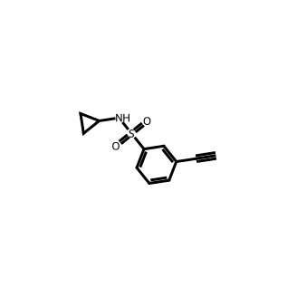 C#Cc1cccc(S(=O)(=O)NC2CC2)c1